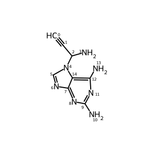 C#CC(N)n1cnc2nc(N)nc(N)c21